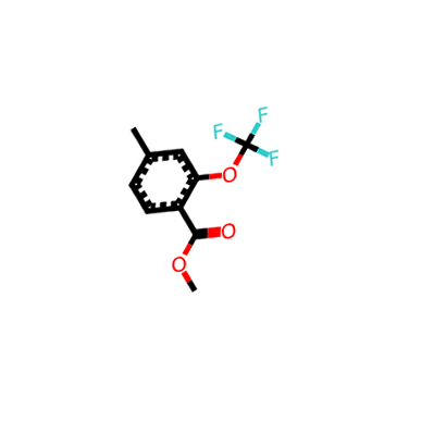 COC(=O)c1ccc(C)cc1OC(F)(F)F